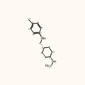 O=C(O)N[C@H]1CC[C@H](CNc2ccc(I)cc2)CC1